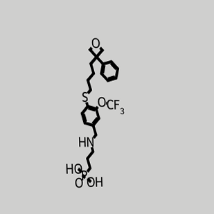 O=P(O)(O)CCCNCc1ccc(SCCCCC2(c3ccccc3)COC2)c(OC(F)(F)F)c1